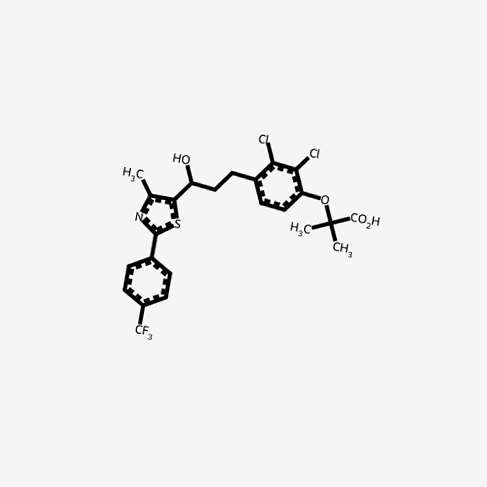 Cc1nc(-c2ccc(C(F)(F)F)cc2)sc1C(O)CCc1ccc(OC(C)(C)C(=O)O)c(Cl)c1Cl